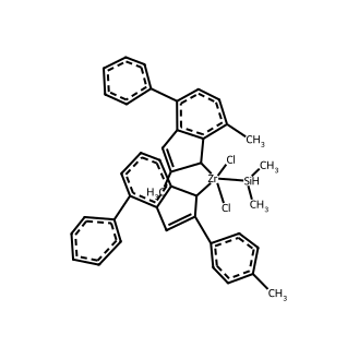 CC1=Cc2c(-c3ccccc3)ccc(C)c2[CH]1[Zr]([Cl])([Cl])([CH]1C(c2ccc(C)cc2)=Cc2c(-c3ccccc3)cccc21)[SiH](C)C